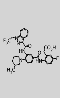 CC1CCCN(c2ccc(C(=O)Nc3ccc(F)cc3CC(=O)O)cc2NC(=O)c2nn(CC(F)(F)F)c3ccccc23)C1